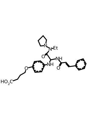 CCN(C(=O)C(NC(=O)C=Cc1ccccc1)Nc1ccc(OCCCC(=O)O)cc1)N1CCCC1